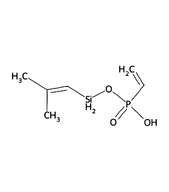 C=CP(=O)(O)O[SiH2]C=C(C)C